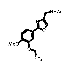 COc1ccc(-c2nc(CNC(C)=O)co2)cc1OCC(F)(F)F